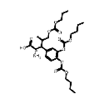 CCCCOC(=O)Oc1ccc(C(C(C)COC(=O)OCCC)[C@H](N)C(=O)O)cc1OC(=O)OCCCC